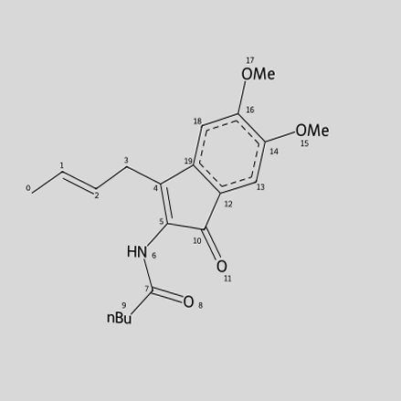 CC=CCC1=C(NC(=O)CCCC)C(=O)c2cc(OC)c(OC)cc21